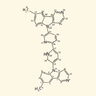 Cc1ccc2c(c1)c1cnccc1n2C1=CC=C(c2ccc(-n3c4ccncc4c4cc(C)ccc43)cn2)NC1